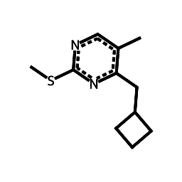 CSc1ncc(C)c(CC2CCC2)n1